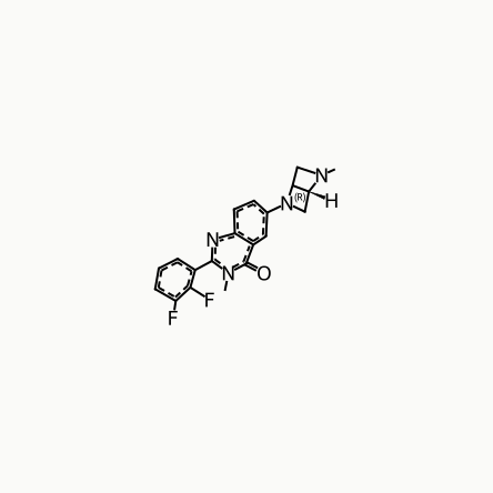 CN1CC2[C@H]1CN2c1ccc2nc(-c3cccc(F)c3F)n(C)c(=O)c2c1